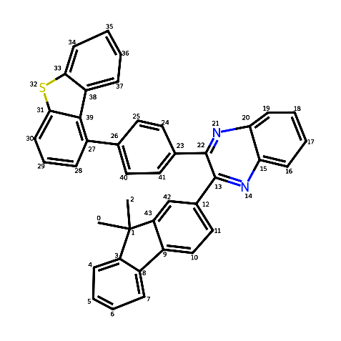 CC1(C)c2ccccc2-c2ccc(-c3nc4ccccc4nc3-c3ccc(-c4cccc5sc6ccccc6c45)cc3)cc21